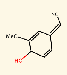 COC1=C/C(=C\C#N)C=CC1O